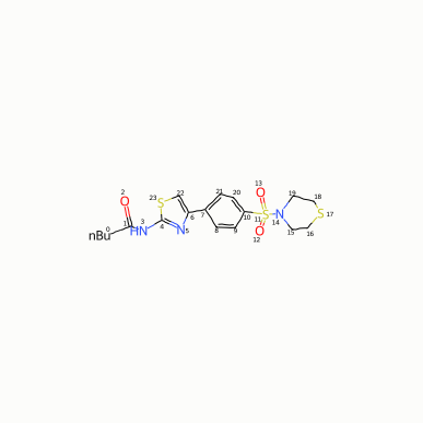 CCCCC(=O)Nc1nc(-c2ccc(S(=O)(=O)N3CCSCC3)cc2)cs1